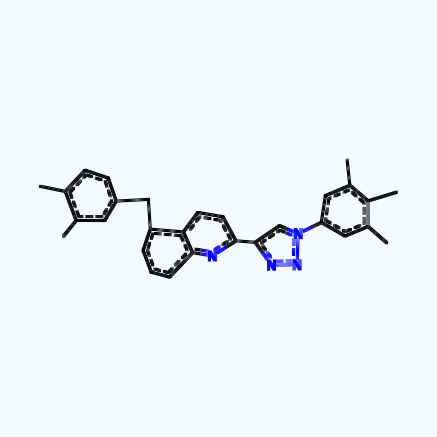 Cc1ccc(Cc2cccc3nc(-c4cn(-c5cc(C)c(C)c(C)c5)nn4)ccc23)cc1C